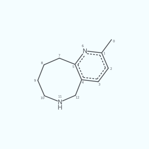 Cc1ccc2c(n1)CCCCNC2